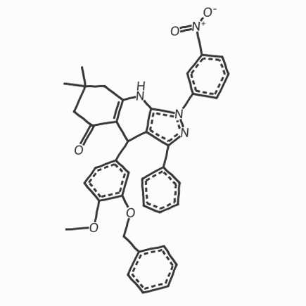 COc1ccc(C2C3=C(CC(C)(C)CC3=O)Nc3c2c(-c2ccccc2)nn3-c2cccc([N+](=O)[O-])c2)cc1OCc1ccccc1